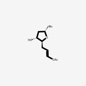 CCCC[C@H]1C[C@@H](O)[C@H](C/C=C/OC(C)=O)O1